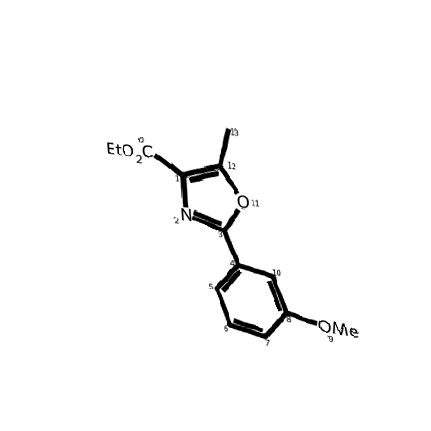 CCOC(=O)c1nc(-c2cccc(OC)c2)oc1C